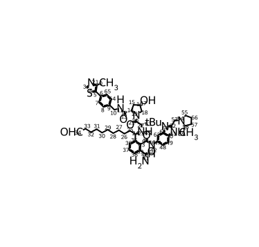 Cc1ncsc1-c1ccc(CNC(=O)[C@@H]2C[C@@H](O)CN2C(=O)[C@@H](NC(CCCCCCCCCC=O)c2cccc(C(N)=O)c2C(=O)Nc2ccc3[nH]c(CN4CCC[C@@H]4C)nc3c2)C(C)(C)C)cc1